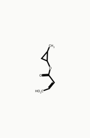 CC1CC1OC(=O)/C=C\C(=O)O